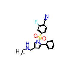 CNCc1cc(-c2ccccc2)n(S(=O)(=O)c2ccc(C#N)c(F)c2)c1